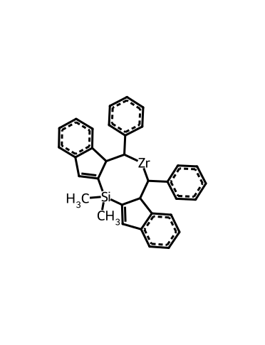 C[Si]1(C)C2=Cc3ccccc3C2[CH](c2ccccc2)[Zr][CH](c2ccccc2)C2C1=Cc1ccccc12